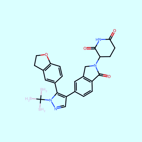 BC(B)(B)n1ncc(-c2ccc3c(c2)CN(C2CCC(=O)NC2=O)C3=O)c1-c1ccc2c(c1)CCO2